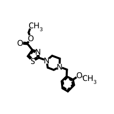 CCOC(=O)c1csc(N2CCN(Cc3ccccc3OC)CC2)n1